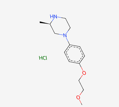 COCCOc1ccc(N2CCN[C@H](C)C2)cc1.Cl